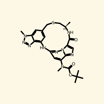 C[C@@H]1CSCc2cc(c3nnn(C)c3c2)Nc2cc(N(C)C(=O)OC(C)(C)C)c3ncc(n3n2)C(=O)N1